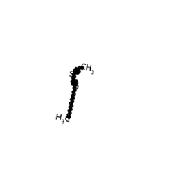 CCCCCCCCCCCCCCCCCOc1ccc(C=CC(=S)c2ccc(CCC)cc2)cc1